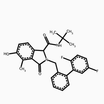 Cc1c(O)ccc2c1C(=O)N(Cc1ccccc1-c1cc(F)ccc1F)C2C(=O)NC(C)(C)C